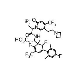 Cc1cc(F)cc(C)c1C1=CC(C(F)(F)F)=C(F)C(C)([C@H](CC(=O)O)NC(=O)C(CC(C)C)n2cc(CCN3CCC3)c(C(F)(F)F)cc2=O)C1F